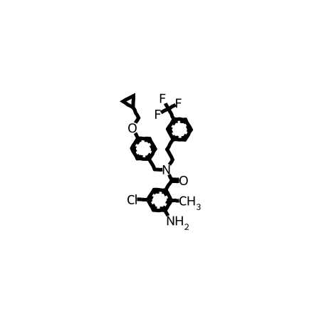 Cc1c(N)cc(Cl)cc1C(=O)N(CCc1cccc(C(F)(F)F)c1)Cc1ccc(OCC2CC2)cc1